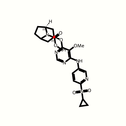 COc1c(Nc2ccc(S(=O)(=O)C3CC3)nc2)ncnc1O[C@H]1CC2CC[C@@H](C1)N2C(=O)OC(C)C